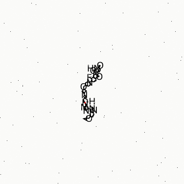 CC1(Oc2ccc3n[nH]c(-c4cc(N5CCC6(CC5)CN(C5CC(OC7CCN(c8ccc9c(c8F)CN(C8CCC(=O)NC8=O)C9=O)CC7)C5)C6)ncn4)c3c2)CC1